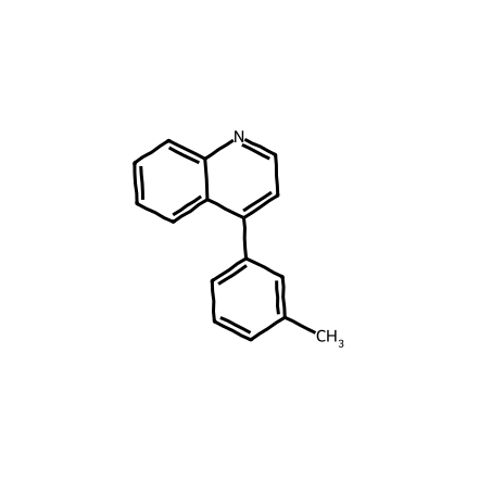 Cc1cccc(-c2ccnc3ccccc23)c1